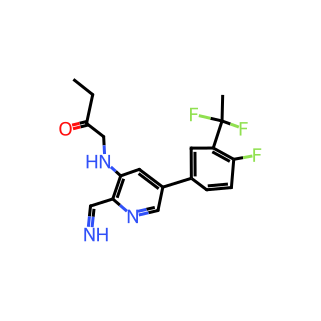 CCC(=O)CNc1cc(-c2ccc(F)c(C(C)(F)F)c2)cnc1C=N